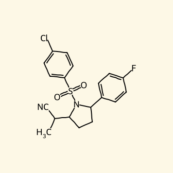 CC(C#N)C1CCC(c2ccc(F)cc2)N1S(=O)(=O)c1ccc(Cl)cc1